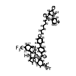 CC(C)N(C)[C@@H]1CC[C@H](N2CC[C@H](Nc3ncnc4ccc(C(F)(F)F)cc34)C2=O)[C@H](NC(=O)C2CC=C(c3ccc(OCCCCCCNC(=O)[C@H]4CC(=O)N(C)[C@@H]4c4cccnc4)cc3)CC2)C1